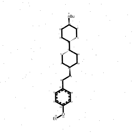 CCCC[C@H]1CC[C@H]([C@H]2CC[C@H](CCc3ccc(OCC)cc3)CC2)CC1